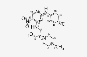 CN1CCN(C(C=O)CNc2nc(Nc3ccc(Cl)cc3)ncc2[N+](=O)[O-])CC1